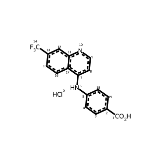 Cl.O=C(O)c1ccc(Nc2ccnc3cc(C(F)(F)F)ccc23)cc1